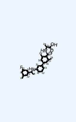 Cc1cc(F)cc(C(C)Nc2cccc(-c3cc(C)c(C(=O)NC(C)C(=O)O)c(C)c3)c2)c1